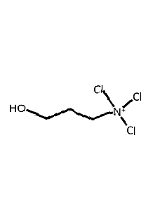 OCCC[N+](Cl)(Cl)Cl